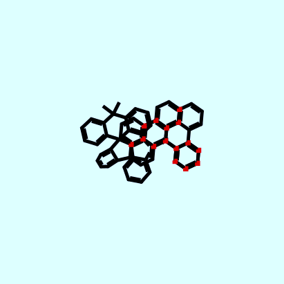 CC1(C)c2ccccc2C2(c3ccccc3-c3ccc(N(c4ccccc4-c4ccccc4-c4ccccc4-c4ccccc4)c4ccccc4-c4cccc5c4sc4ccccc45)cc32)c2ccccc21